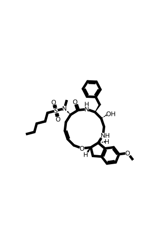 CCCCCS(=O)(=O)N(C)[C@H]1CC=CCO[C@H]2Cc3ccc(OC)cc3[C@@H]2NC[C@@H](O)[C@H](Cc2ccccc2)NC1=O